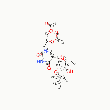 CC[C@H]1O[C@@H](c2cn(CC(COC(C)=O)OC(C)=O)c(=O)[nH]c2=O)[C@@H](O[Si](C)(C)C(C)(C)C)C1O